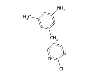 Cc1cc(C)cc(N)c1.Clc1ncccn1